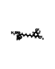 CC(C)OC(CCCCCCc1cc(C(F)(F)F)cc(C(F)(F)F)c1)(O[SiH3])OC(C)C